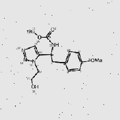 COc1ccc(CC(NC(=O)OC(C)(C)C)c2cnnn2CCO)cc1